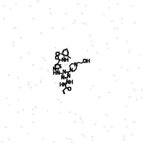 C=CC(=O)NNc1nc(Nc2ncc(C(=O)Nc3c(C)cccc3Cl)s2)nc(N2CCN(CCO)CC2)n1